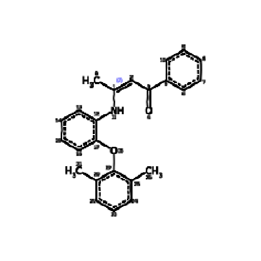 C/C(=C/C(=O)c1ccccc1)Nc1ccccc1Oc1c(C)cccc1C